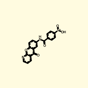 O=C(Nc1ccc2oc3ncccc3c(=O)c2c1)c1ccc([N+](=O)O)cc1